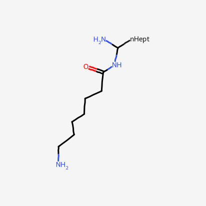 CCCCCCCC(N)NC(=O)CCCCCCN